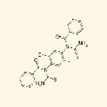 Cc1cc(N(C(=O)c2ccccc2)C(N)=S)c(Cl)cc1N(C(=O)c1ccccc1)C(N)=S